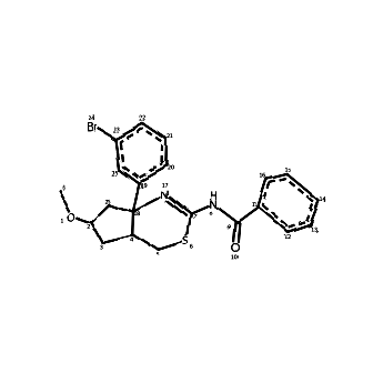 COC1CC2CSC(NC(=O)c3ccccc3)=NC2(c2cccc(Br)c2)C1